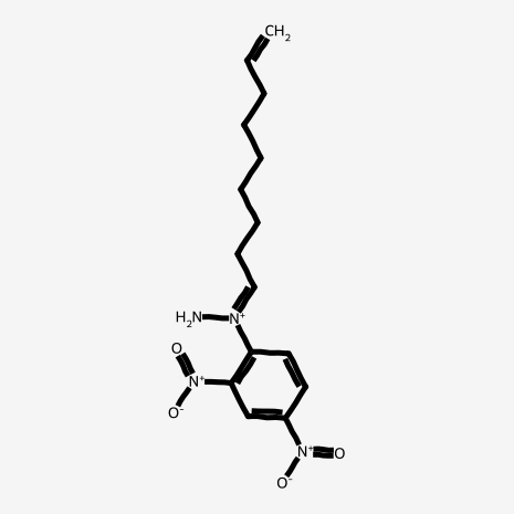 C=CCCCCCCC=[N+](N)c1ccc([N+](=O)[O-])cc1[N+](=O)[O-]